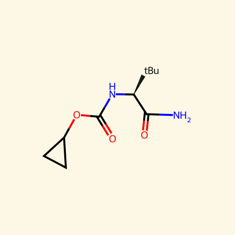 CC(C)(C)[C@H](NC(=O)OC1CC1)C(N)=O